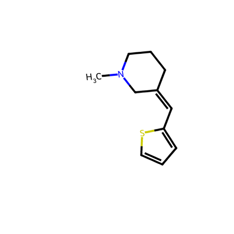 CN1CCCC(=Cc2cccs2)C1